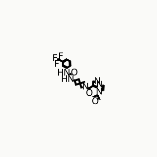 O=C(Nc1cccc(C(F)(F)F)c1)NC1CC2(C1)CN(C(=O)c1cnn3ccn(C4COC4)c13)C2